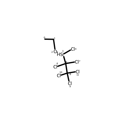 CCO[SiH](Cl)C(Cl)(Cl)C(Cl)(Cl)Cl